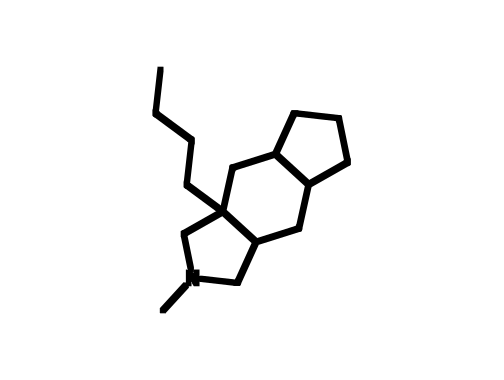 CCCCC12CC3CCCC3CC1CN(C)C2